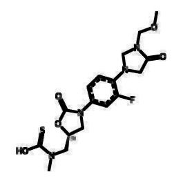 COCN1CN(c2ccc(N3C[C@@H](CN(C)C(O)=S)OC3=O)cc2F)CC1=O